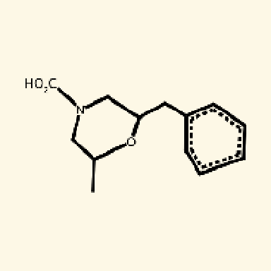 CC1CN(C(=O)O)CC(Cc2ccccc2)O1